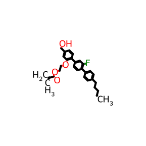 C=C(C)C(=O)OCCOc1cc(CO)ccc1-c1ccc(-c2ccc(CCCCC)cc2)c(F)c1